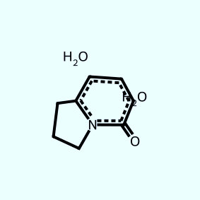 O.O.O=c1cccc2n1CCC2